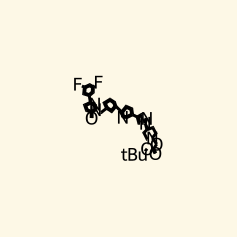 CC(C)(C)OC(=O)ON1CCC(n2cc(-c3ccc(-c4cccc(Cn5nc(-c6cc(F)cc(F)c6)ccc5=O)c4)nc3)cn2)CC1